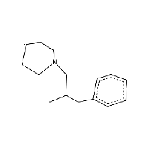 CC(Cc1ccccc1)CN1CC[CH]CC1